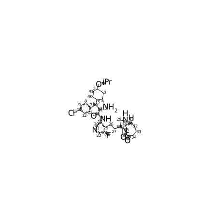 CC(C)OC1CCC([C@H](c2ccc(Cl)cc2)[C@H](N)C(=O)Nc2cncc(F)c2CC[C@H]2CN[C@@H]3CCCS(=O)(=O)N2C3)CC1